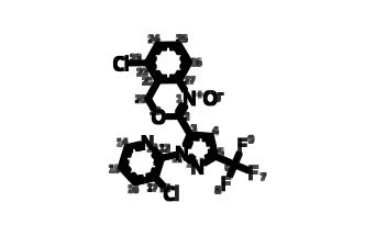 [O-][N+]1=C(c2cc(C(F)(F)F)nn2-c2ncccc2Cl)OCc2c(Cl)cccc21